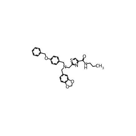 CCCNC(=O)c1csc(CN(Cc2ccc(OCc3ccccc3)cc2)Cc2ccc3c(c2)OCO3)n1